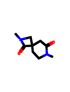 CN1CCC2(CC1=O)CN(C)C2=O